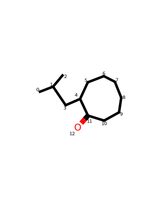 CC(C)CC1CCCCCCC1=O